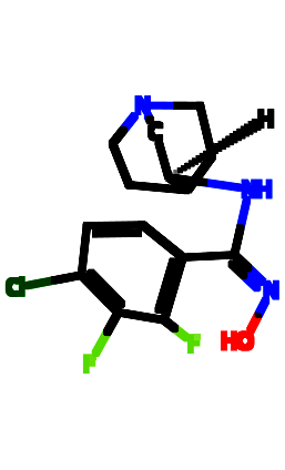 O/N=C(/N[C@@H]1CN2CCC1CC2)c1ccc(Cl)c(F)c1F